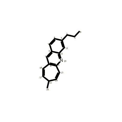 CCCc1ccc2cc3c(nc2c1)C=CC(C)C=C3